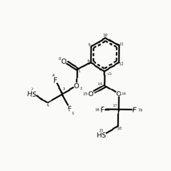 O=C(OC(F)(F)CS)c1ccccc1C(=O)OC(F)(F)CS